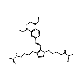 CCN1CCN(CC)c2cc(/N=N/c3n(CCCCNC(C)=O)cc[n+]3CCCCNC(C)=O)ccc21